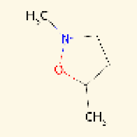 CC1CCN(C)O1